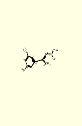 CC(=N[S+]([O-])C(C)(C)C)c1cc(C)cc(C(F)(F)F)c1